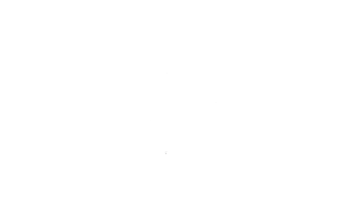 Cc1c(Br)cc(C(=O)O)c2c1CCO2